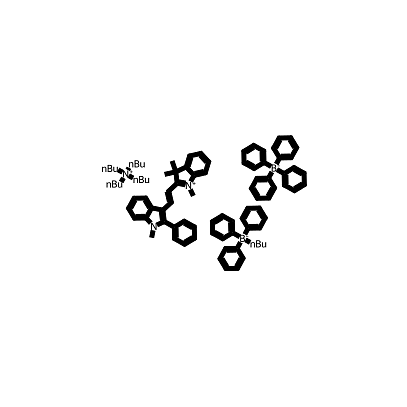 CCCC[B-](c1ccccc1)(c1ccccc1)c1ccccc1.CCCC[N+](CCCC)(CCCC)CCCC.Cn1c(-c2ccccc2)c(C=CC2=[N+](C)c3ccccc3C2(C)C)c2ccccc21.c1ccc([B-](c2ccccc2)(c2ccccc2)c2ccccc2)cc1